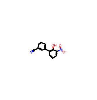 N#Cc1cccc(-c2cccc([N+](=O)[O-])c2O)c1